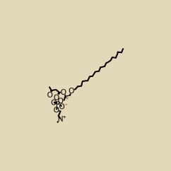 CCCCCCCCCCCCCCCCCCOC[C@@H](COP(=O)([O-])OCC[N+](C)(C)C)OC(=O)CC(C)=O